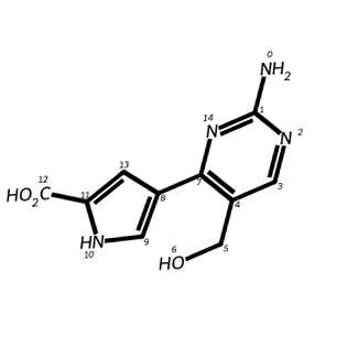 Nc1ncc(CO)c(-c2c[nH]c(C(=O)O)c2)n1